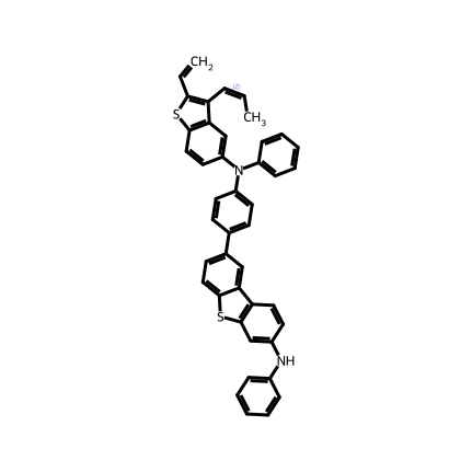 C=Cc1sc2ccc(N(c3ccccc3)c3ccc(-c4ccc5sc6cc(Nc7ccccc7)ccc6c5c4)cc3)cc2c1/C=C\C